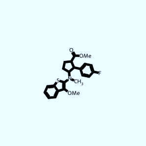 COC(=O)C1CCC(N(C)c2sc3ccccc3c2OC)C1c1ccc(F)cc1